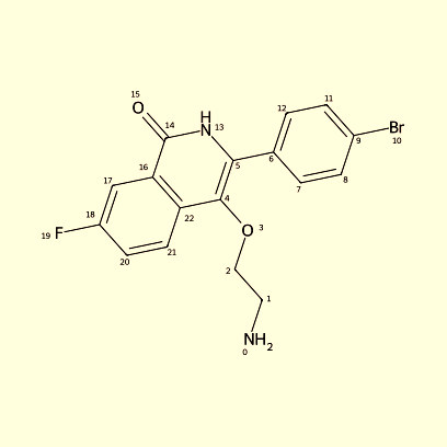 NCCOc1c(-c2ccc(Br)cc2)[nH]c(=O)c2cc(F)ccc12